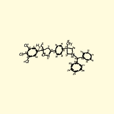 CC1(c2cc(Cl)c(Cl)c(Cl)c2)CC(c2ccc(C3(O)CN(C(c4ccccc4)c4ccccc4)C3)cc2)=NO1